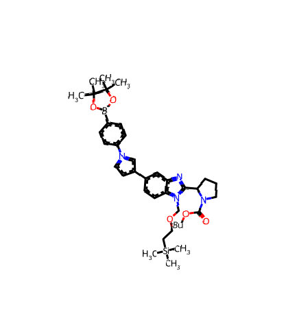 CC(C)(C)OC(=O)N1CCCC1c1nc2cc(-c3ccn(-c4ccc(B5OC(C)(C)C(C)(C)O5)cc4)c3)ccc2n1COCC[Si](C)(C)C